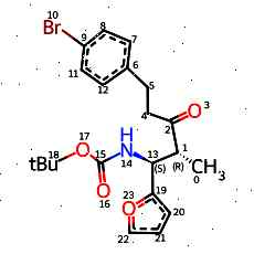 C[C@@H](C(=O)CCc1ccc(Br)cc1)[C@H](NC(=O)OC(C)(C)C)c1ccco1